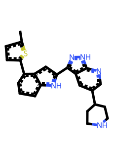 Cc1ccc(-c2cccc3[nH]c(-c4n[nH]c5ncc(C6CCNCC6)cc45)cc23)s1